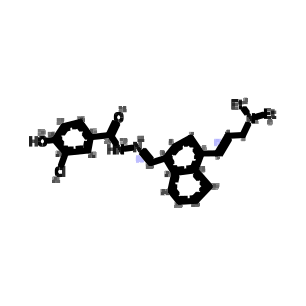 CCN(CC)C/C=C/c1ccc(/C=N/NC(=O)c2ccc(O)c(Cl)c2)c2ccccc12